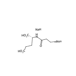 CCCCCCCCCCCC(=O)N[C@H](CCC(=O)O)C(=O)O.[NaH]